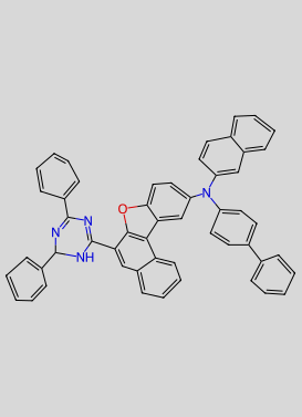 c1ccc(C2=NC(c3ccccc3)NC(c3cc4ccccc4c4c3oc3ccc(N(c5ccc(-c6ccccc6)cc5)c5ccc6ccccc6c5)cc34)=N2)cc1